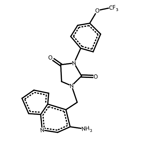 Nc1cnc2ccccc2c1CN1CC(=O)N(c2ccc(OC(F)(F)F)cc2)C1=O